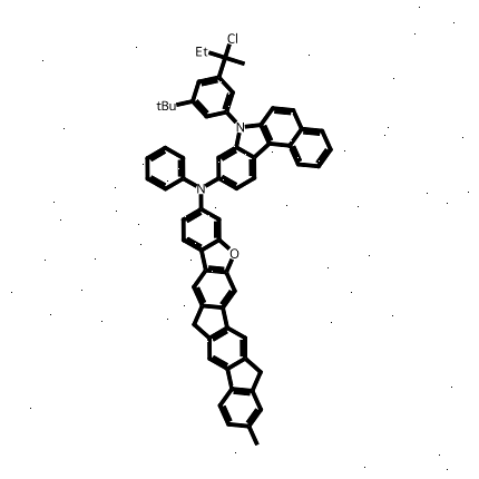 CCC(C)(Cl)c1cc(-n2c3cc(N(c4ccccc4)c4ccc5c(c4)oc4cc6c(cc45)Cc4cc5c(cc4-6)Cc4cc(C)ccc4-5)ccc3c3c4ccccc4ccc32)cc(C(C)(C)C)c1